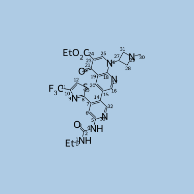 CCNC(=O)Nc1cc(-c2nc(C(F)(F)F)cs2)c(-c2cnc3c(c2)c(=O)c(C(=O)OCC)cn3C2CN(C)C2)cn1